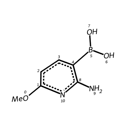 COc1ccc(B(O)O)c(N)n1